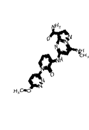 CNc1cc(Nc2cccn(-c3ccc(OC)nn3)c2=O)nc2c(C(N)=O)cnn12